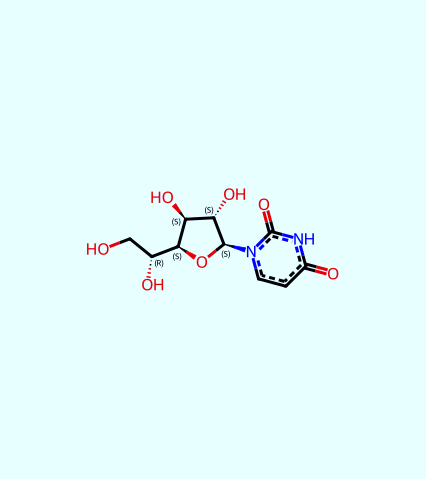 O=c1ccn([C@H]2O[C@@H]([C@H](O)CO)[C@@H](O)[C@@H]2O)c(=O)[nH]1